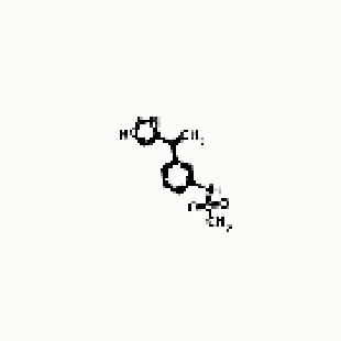 C=C(c1cccc(NS(C)(=O)=O)c1)c1c[nH]cn1